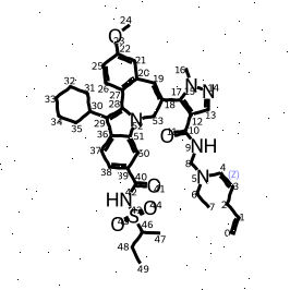 C=CC/C=C\N(CC)CNC(=O)c1cnn(C)c1C1=Cc2cc(OC)ccc2-c2c(C3CCCCC3)c3ccc(C(=O)NS(=O)(=O)C(C)CC)cc3n2C1